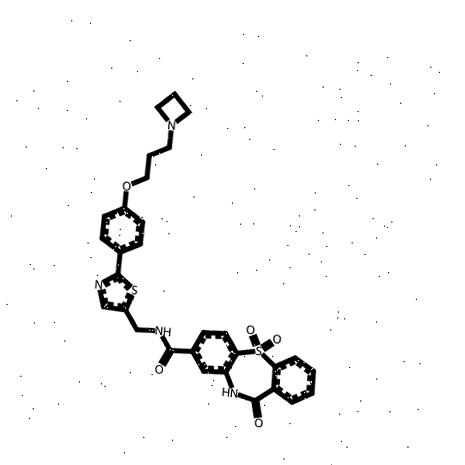 O=C(NCc1cnc(-c2ccc(OCCCN3CCC3)cc2)s1)c1ccc2c(c1)NC(=O)c1ccccc1S2(=O)=O